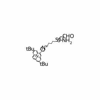 CC(C)(C)C1=CC2=CC=C3C=C(C(C)(C)C)C=C4C(c5cc[n+](CCCCCCSSCC(N)C=O)cc5)=CC(=C1)C2(C)C34C